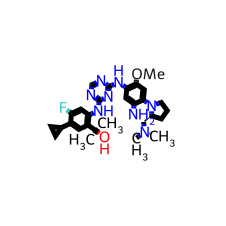 COc1cc(N2CCC[C@@H]2CN(C)C)c(N)cc1Nc1ncnc(Nc2cc(F)c(C3CC3)cc2C(C)(C)O)n1